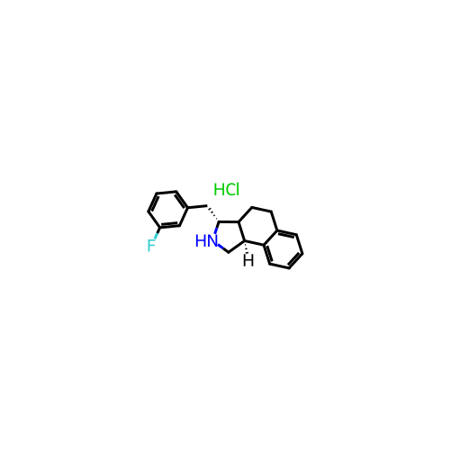 Cl.Fc1cccc(C[C@H]2NC[C@@H]3c4ccccc4CCC32)c1